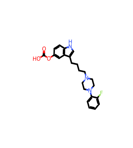 O=C(O)Oc1ccc2[nH]cc(CCCCN3CCN(c4ccccc4F)CC3)c2c1